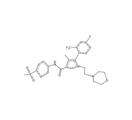 Cc1c(C(=O)Nc2ccc(S(C)(=O)=O)cc2)cn(CCN2CCOCC2)c1-c1ccc(F)cc1C(F)(F)F